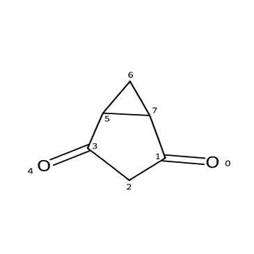 O=C1CC(=O)C2CC12